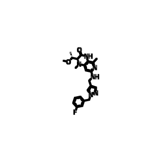 CO[C@H](C)[C@H]1C(=O)Nc2c(cc(NCc3cnn(Cc4cccc(F)c4)c3)nc2C)N1C